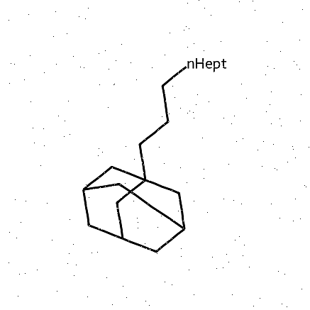 CCCCCCCCCCC12CC3CC(CC(C3)C1)C2